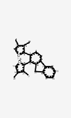 Cc1coc(-c2ccc3c(c2-c2occ(C)c2C)[CH]c2ccccc2-3)c1C